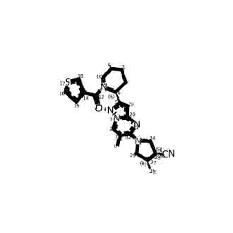 Cc1cn2nc([C@@H]3CCCCN3C(=O)c3ccsc3)cc2nc1N1C[C@@H](C#N)[C@@H](C)C1